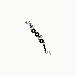 C/C=C/C(=O)OC1CCC(C2CCC(C(=O)Oc3ccc(OCCCCCC)cc3)CC2)CC1